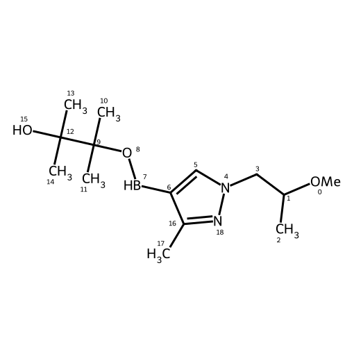 COC(C)Cn1cc(BOC(C)(C)C(C)(C)O)c(C)n1